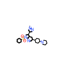 Cn1cc(-c2cn(S(=O)(=O)c3ccccc3)c3ncc(C4CCC(N5CCCCC5)CC4)cc23)cn1